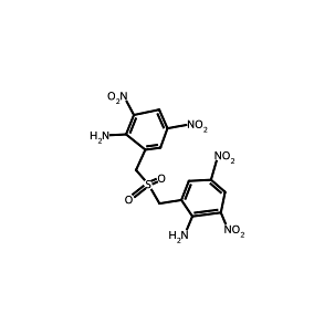 Nc1c(CS(=O)(=O)Cc2cc([N+](=O)[O-])cc([N+](=O)[O-])c2N)cc([N+](=O)[O-])cc1[N+](=O)[O-]